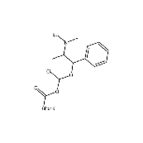 CCCCCC(=O)OC(Cl)OC(c1ccccc1)C(C)N(C)CC